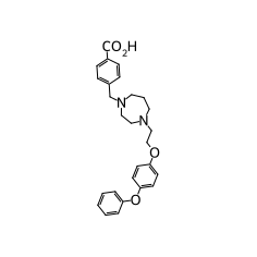 O=C(O)c1ccc(CN2CCCN(CCOc3ccc(Oc4ccccc4)cc3)CC2)cc1